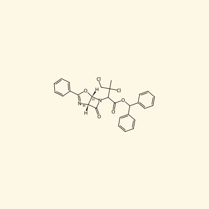 CC(Cl)(CCl)C(C(=O)OC(c1ccccc1)c1ccccc1)N1C(=O)[C@@H]2N=C(c3ccccc3)O[C@@H]21